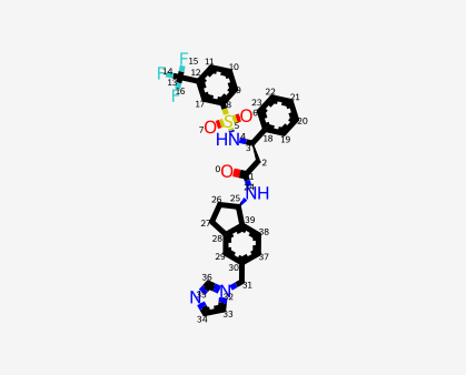 O=C(C[C@@H](NS(=O)(=O)c1cccc(C(F)(F)F)c1)c1ccccc1)N[C@@H]1CCc2cc(Cn3ccnc3)ccc21